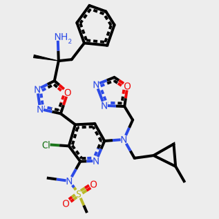 CC1CC1CN(Cc1nnco1)c1cc(-c2nnc([C@](C)(N)Cc3ccccc3)o2)c(Cl)c(N(C)S(C)(=O)=O)n1